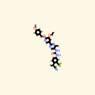 CCOc1cc(-c2ncc(NC(=O)Nc3ccc(C(C)C#N)c(C(F)(F)F)c3)c(C)n2)cnc1OCc1ccc(OC)cc1